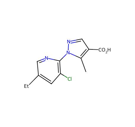 CCc1cnc(-n2ncc(C(=O)O)c2C)c(Cl)c1